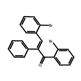 O=C(/C(=C/c1ccccc1Br)c1ccccc1)c1ccccc1Br